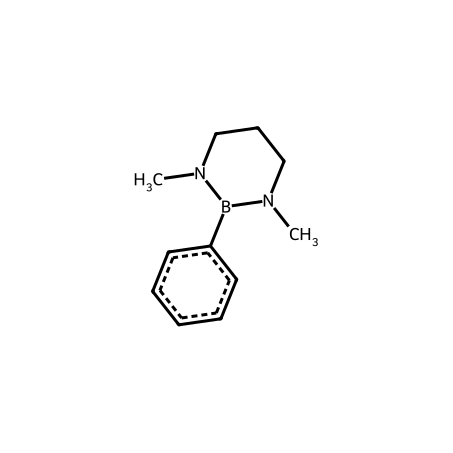 CN1CCCN(C)B1c1ccccc1